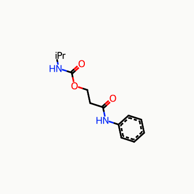 CC(C)NC(=O)OCCC(=O)Nc1ccccc1